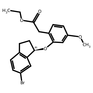 CCOC(=O)Cc1ccc(OC)cc1O[C@@H]1CCc2ccc(Br)cc21